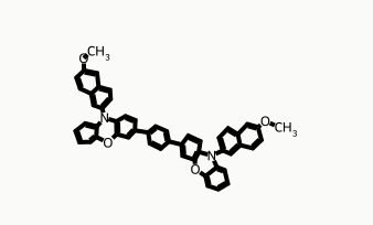 COc1ccc2cc(N3c4ccccc4Oc4cc(-c5ccc(-c6ccc7c(c6)Oc6ccccc6N7c6ccc7cc(OC)ccc7c6)cc5)ccc43)ccc2c1